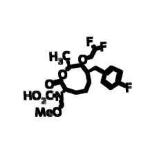 COCN(C(=O)O)[C@H]1CCC[C@H](Cc2ccc(F)cc2)[C@@H](OCC(F)F)[C@H](C)OC1=O